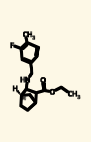 CCOC(=O)C1C2CC[C@H](C2)C1NCc1ccc(C)c(F)c1